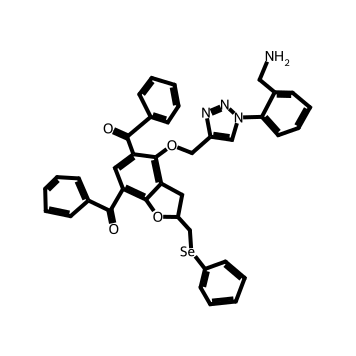 NCc1ccccc1-n1cc(COc2c(C(=O)c3ccccc3)cc(C(=O)c3ccccc3)c3c2CC(C[Se]c2ccccc2)O3)nn1